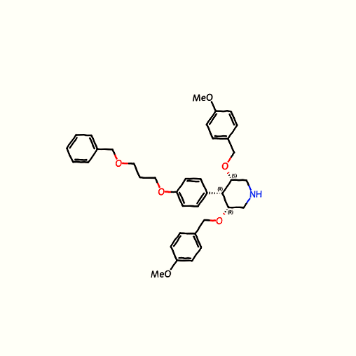 COc1ccc(CO[C@H]2CNC[C@@H](OCc3ccc(OC)cc3)[C@H]2c2ccc(OCCCOCc3ccccc3)cc2)cc1